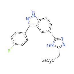 CCOC(=O)Cc1nnc(-c2ccc3[nH]nc(-c4ccc(F)cc4)c3c2)[nH]1